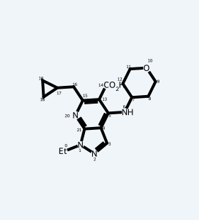 CCn1ncc2c(NC3CCOCC3)c(C(=O)O)c(CC3CC3)nc21